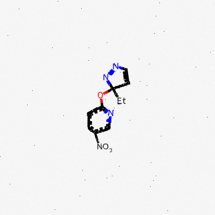 CCC1(Oc2ccc([N+](=O)[O-])cn2)C=CN=N1